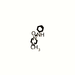 CN1CCN(C(=O)NC2CC#CCC2)CC1